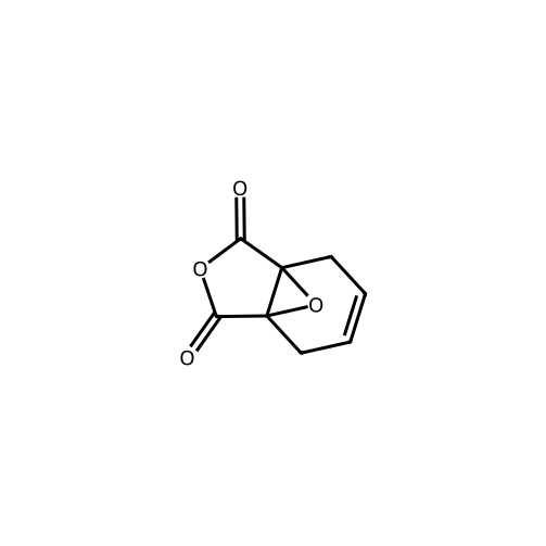 O=C1OC(=O)C23CC=CCC12O3